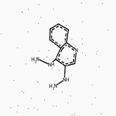 NNc1cnc2ccccc2c1NN